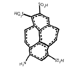 Nc1cc(S(=O)(=O)O)c2ccc3cc(S(=O)(=O)O)c(S(=O)(=O)O)c4ccc1c2c34